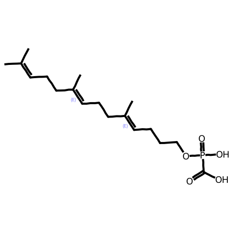 CC(C)=CCC/C(C)=C/CC/C(C)=C/CCCOP(=O)(O)C(=O)O